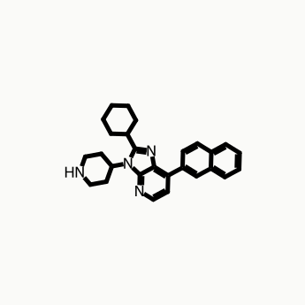 c1ccc2cc(-c3ccnc4c3nc(C3CCCCC3)n4C3CCNCC3)ccc2c1